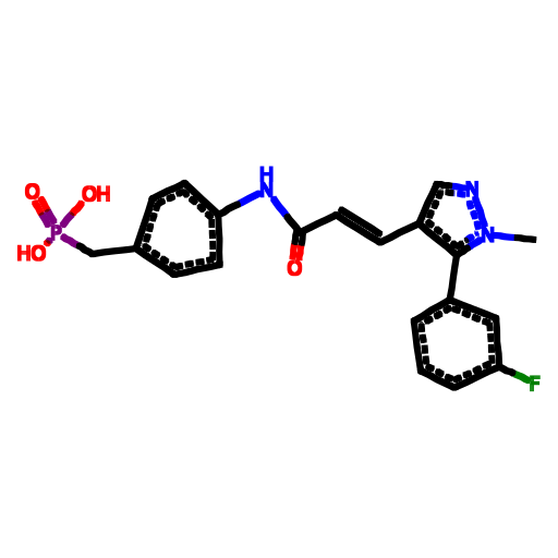 Cn1ncc(C=CC(=O)Nc2ccc(CP(=O)(O)O)cc2)c1-c1cccc(F)c1